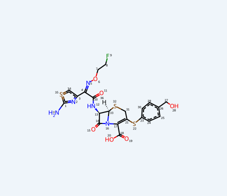 Nc1nc(/C(=N/OCCF)C(=O)N[C@@H]2C(=O)N3C(C(=O)O)=C(Sc4ccc(CO)cc4)CS[C@H]23)cs1